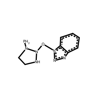 PN1CCNN1On1nnc2ccccc21